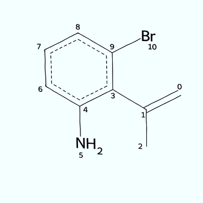 C=C(C)c1c(N)cccc1Br